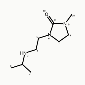 CC(C)NCCN1CCN(C)C1=O